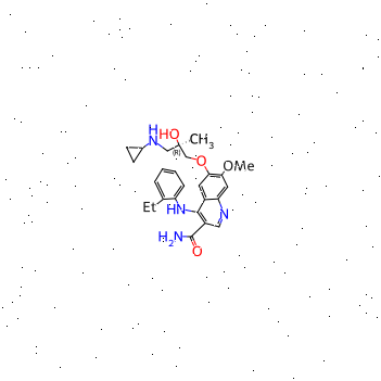 CCc1ccccc1Nc1c(C(N)=O)cnc2cc(OC)c(OC[C@](C)(O)CNC3CC3)cc12